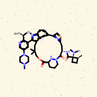 CCN(C)[C@]1(C(=O)N[C@H]2Cc3nc(cs3)-c3ccc4c(c3)c(c(-c3cc(N5CCN(C)CC5)cnc3[C@H](C)OC)n4CC)CC(C)(C)COC(=O)[C@@H]3CCCN(N3)C2=O)CC[C@@H]1C